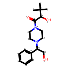 CC(C)(C)C(O)C(=O)N1CCN(C(CO)c2ccccc2)CC1